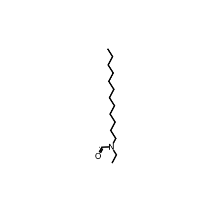 CCCCCCCCCCCCN([C]=O)CC